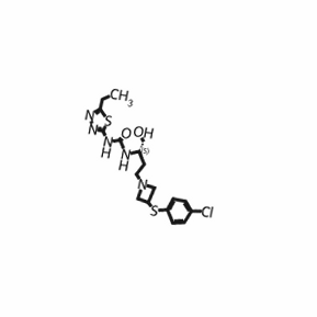 CCc1nnc(NC(=O)N[C@H](CO)CCN2CC(Sc3ccc(Cl)cc3)C2)s1